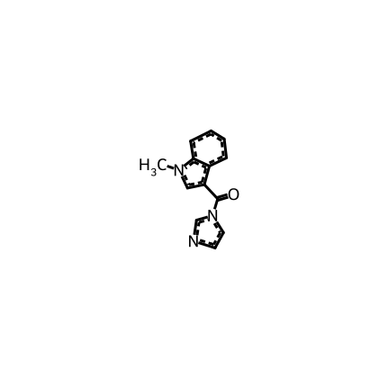 Cn1cc(C(=O)n2ccnc2)c2ccccc21